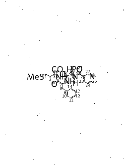 CSCC[C@H](NC(=O)[C@H](Cc1ccccc1)NC(=O)[C@@H](NC(=O)c1cccnc1)C(C)C)C(=O)O